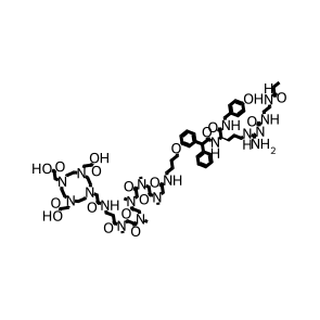 CCC(=O)NCCNC(=O)/N=C(/N)NCCC[C@@H](NC(=O)C(c1ccccc1)c1cccc(OCCCCNC(=O)CN(C)C(=O)CN(C)C(=O)CN(C)C(=O)CN(C)C(=O)CN(C)C(=O)CCNC(=O)CN2CCN(CC(=O)O)CCN(CC(=O)O)CCN(CC(=O)O)CC2)c1)C(=O)NCc1ccc(O)cc1